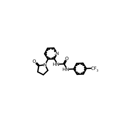 O=C(Nc1ccc(C(F)(F)F)cc1)Nc1ncccc1N1CCCC1=O